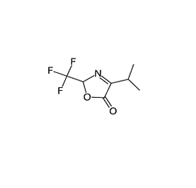 CC(C)C1=NC(C(F)(F)F)OC1=O